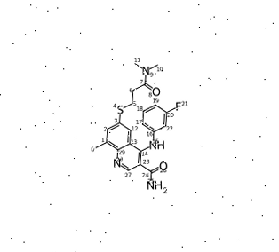 Cc1cc(SCCC(=O)N(C)C)cc2c(Nc3cccc(F)c3)c(C(N)=O)cnc12